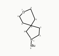 CC(C)(C)N1CCC2(CCOCC2)C1